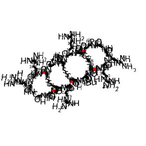 CC[C@H](C)[C@@H]1NC(=O)[C@@H]2CSSC[C@H](NC(=O)[C@H](CCCNC(=N)N)NC(=O)[C@@H]3CSSC[C@H](NC1=O)C(=O)N[C@@H](CCCNC(=N)N)C(=O)N[C@@H](CCCNC(=N)N)C(=O)NCC(=O)N[C@@H](C(C)C)C(=O)N3)C(=O)N[C@@H](CC(C)C)C(=O)N[C@H]1CSSC[C@H](NC(=O)[C@H](C(C)C)NC(=O)CNC(=O)[C@@H](CCCNC(=N)N)NC(=O)[C@H](CCCNC(=N)N)NC1=O)C(=O)N[C@@H](CCCNC(=N)N)C(=O)N2